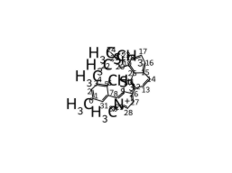 Cc1cc(C)c(C)c(-c2c3sc4c(ccc5cccc(C[Si](C)(C)C)c54)c3cc[n+]2C)c1